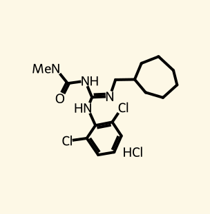 CNC(=O)NC(=NCC1CCCCCC1)Nc1c(Cl)cccc1Cl.Cl